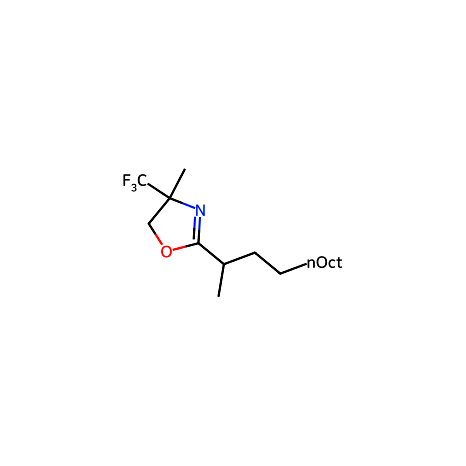 CCCCCCCCCCC(C)C1=NC(C)(C(F)(F)F)CO1